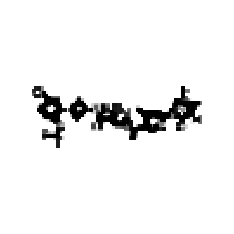 Cc1cc(N2C[C@H]3C[C@H]3C2=O)ncc1C(C)n1cc(C(=O)N[C@H]2C[C@@H](c3cc(Cl)ccc3OC(F)F)C2)nn1